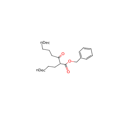 CCCCCCCCCCCCCC(=O)C(CCCCCCCCCCCC)C(=O)OCc1ccccc1